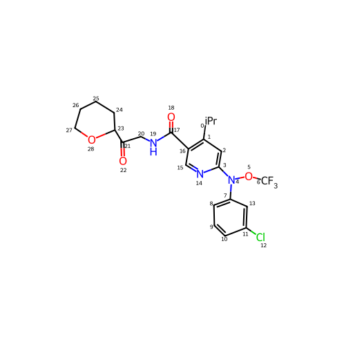 CC(C)c1cc(N(OC(F)(F)F)c2cccc(Cl)c2)ncc1C(=O)NCC(=O)C1CCCCO1